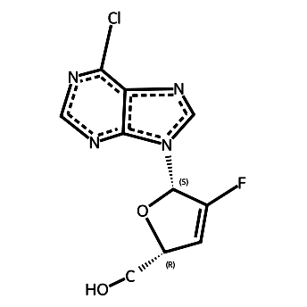 OC[C@H]1C=C(F)[C@@H](n2cnc3c(Cl)ncnc32)O1